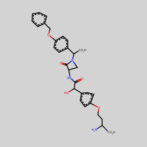 NC(CCOc1ccc(C(O)C(=O)NC2CN(C(C(=O)O)c3ccc(OCc4ccccc4)cc3)C2=O)cc1)C(=O)O